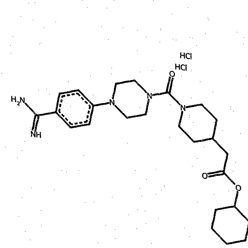 Cl.Cl.N=C(N)c1ccc(N2CCN(C(=O)N3CCC(CC(=O)OC4CCCCC4)CC3)CC2)cc1